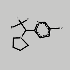 FC(F)(F)C(c1ccc(Br)cn1)N1CCCC1